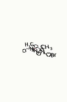 Cc1ccc(-c2c(C)cn(Cc3ccc(Br)cc3)c2C(=O)N2CCN(CCCc3ccccc3)CC2)cc1